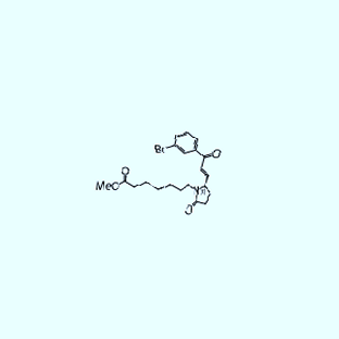 COC(=O)CCCCCCN1C(=O)CC[C@@H]1C=CC(=O)c1cccc(Br)c1